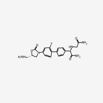 CC(=O)NC[C@H]1CN(c2ccc(-c3ccc([C@@H](NCC(N)=O)C(N)=O)cc3)c(F)c2)C(=O)O1